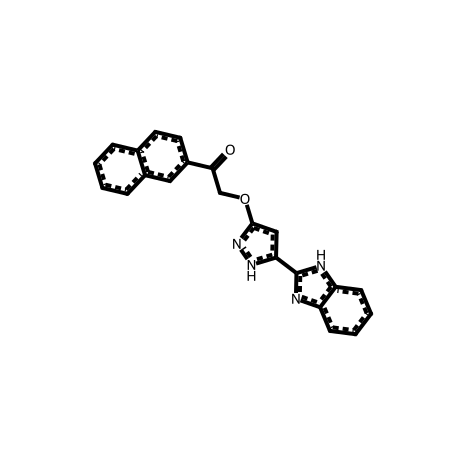 O=C(COc1cc(-c2nc3ccccc3[nH]2)[nH]n1)c1ccc2ccccc2c1